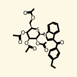 CCc1ccc(C(=O)c2cn([C@@H]3S[C@H](COC(C)=O)[C@@H](OC(C)=O)[C@H](OC(C)=O)[C@H]3OC(C)=O)c3ccccc23)cc1